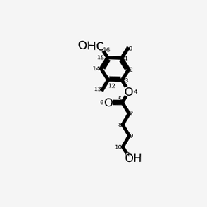 Cc1cc(OC(=O)CCCCO)c(C)cc1C=O